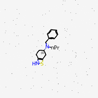 CCCN(Cc1ccccc1)[C@H]1CCc2[nH]sc2C1